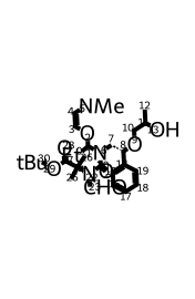 CCC(O/C=C\NC)N(C[C@H](OCC(C)O)c1ccccc1)C(=O)N(C=O)C(C)(C)C(=O)OC(C)(C)C